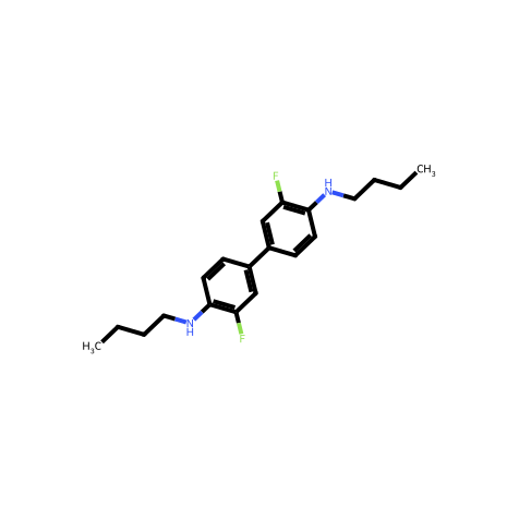 CCCCNc1ccc(-c2ccc(NCCCC)c(F)c2)cc1F